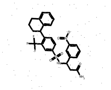 NC(=O)CC(NS(=O)(=O)c1ccc(C2CCCc3ccccc32)c(C(F)(F)F)c1)c1cccc([N+](=O)[O-])c1